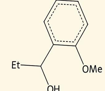 CCC(O)c1ccccc1OC